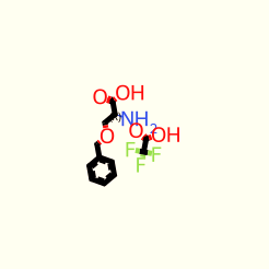 N[C@H](COCc1ccccc1)C(=O)O.O=C(O)C(F)(F)F